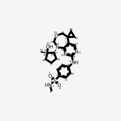 CNS(=O)(=O)c1ccc(Nc2ncc3c(n2)N([C@@H]2CCC[C@]2(C)O)COCC32CC2)cc1